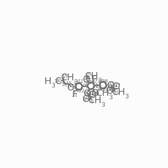 COc1c(OS(C)(=O)=O)c(-c2ccc(OCC=C(C)C)c(F)c2)c(OC)c(F)c1-c1ccc(OS(C)(=O)=O)cc1